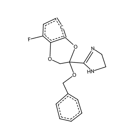 Fc1cccc2c1OCC(OCc1ccccc1)(C1=NCCN1)O2